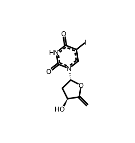 C=C1O[C@@H](n2cc(I)c(=O)[nH]c2=O)C[C@@H]1O